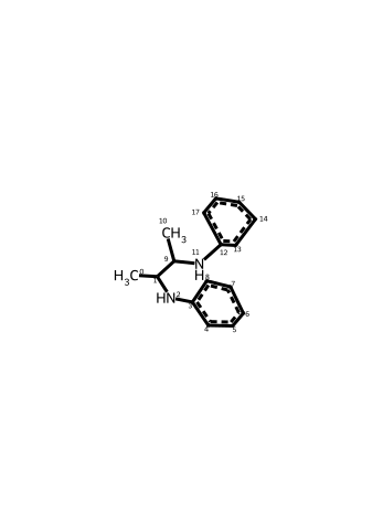 CC(Nc1ccccc1)C(C)Nc1ccccc1